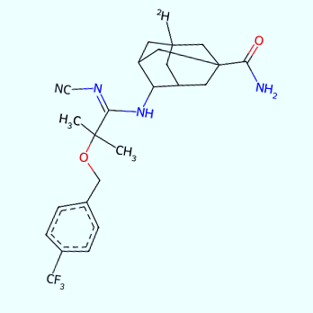 [2H]C12CC3CC(C(N)=O)(CC(C1)C3NC(=NC#N)C(C)(C)OCc1ccc(C(F)(F)F)cc1)C2